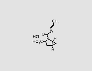 CC=COC(=O)N1[C@@H]2C[C@@H]2C[C@H]1C(=O)O.Cl